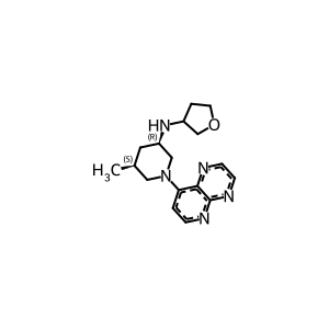 C[C@H]1C[C@@H](NC2CCOC2)CN(c2ccnc3nccnc23)C1